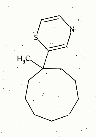 CC1(C2=C[N]C=CS2)CCCCCCCC1